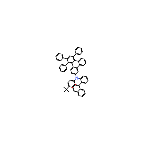 CC(C)(C)c1ccc(N(c2ccc3c(c2)c2ccccc2c2c(-c4ccccc4)cc(-c4ccccc4)c(-c4ccccc4)c32)c2ccccc2-c2cccc3ccccc23)cc1